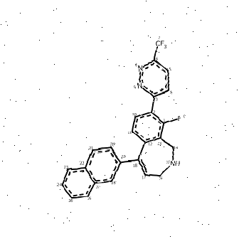 Fc1c(-c2ccc(C(F)(F)F)nn2)ccc2c1CNCC=C2c1ccc2ccccc2c1